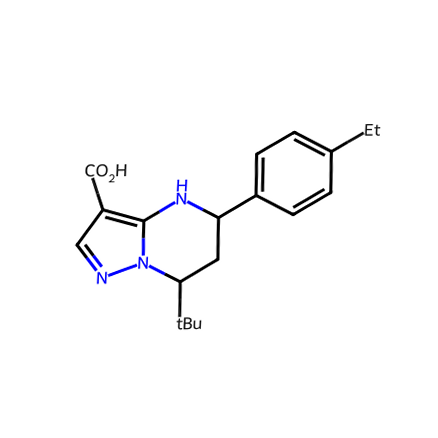 CCc1ccc(C2CC(C(C)(C)C)n3ncc(C(=O)O)c3N2)cc1